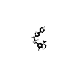 CC(C)N1CCOc2c(F)cc(-c3cnc(Nc4ccc(C5CCN(C)CC5)nn4)n3C)cc21